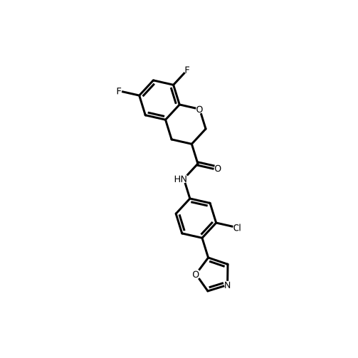 O=C(Nc1ccc(-c2cnco2)c(Cl)c1)C1COc2c(F)cc(F)cc2C1